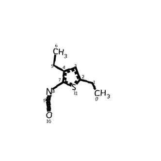 CCc1cc(CC)c(N=C=O)s1